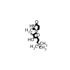 C=C1NC(=O)C=CN1[C@@H]1OC(CCP(=C)(C)C)[C@@H](O)[C@H]1I